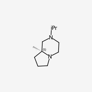 CC(C)N1CCN2CCC[C@@]2(C)C1